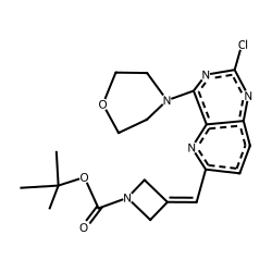 CC(C)(C)OC(=O)N1CC(=Cc2ccc3nc(Cl)nc(N4CCOCC4)c3n2)C1